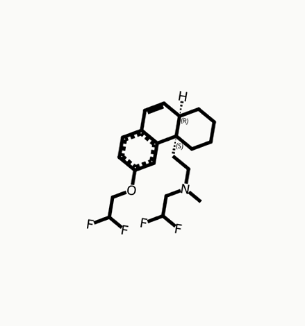 CN(CC[C@@]12CCCC[C@@H]1C=Cc1ccc(OCC(F)F)cc12)CC(F)F